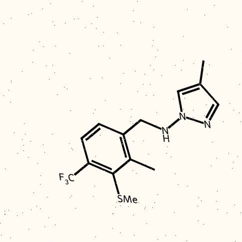 CSc1c(C(F)(F)F)ccc(CNn2cc(C)cn2)c1C